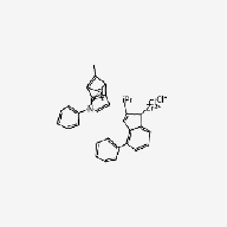 CC(C)C1=Cc2c(-c3ccccc3)cccc2[CH]1[Zr+2].CC1=C2c3c(ccn3-c3ccccc3)C1[Si]2(C)C.[Cl-].[Cl-]